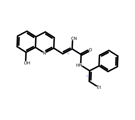 CC/C=C(/NC(=O)/C(C#N)=C/c1ccc2cccc(O)c2n1)c1ccccc1